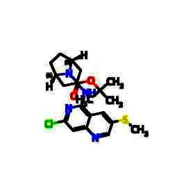 CSc1cnc2cc(Cl)nc(NC3C[C@H]4CC[C@@H](C3)N4C(=O)OC(C)(C)C)c2c1